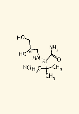 CC(C)(C)[C@H](NC[C@@H](O)CO)C(N)=O.Cl